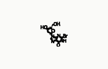 O=c1[nH]c(Br)nc2c1ncn2[C@@H]1C[C@@H](O)[C@H](CO)O1